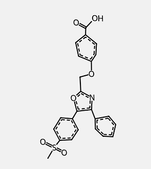 CS(=O)(=O)c1ccc(-c2oc(COc3ccc(C(=O)O)cc3)nc2-c2ccccc2)cc1